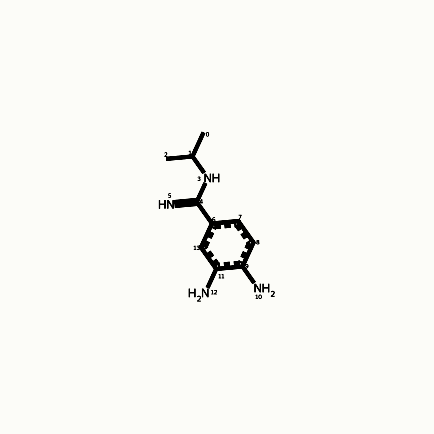 CC(C)NC(=N)c1ccc(N)c(N)c1